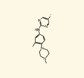 Cc1cc(Nc2ncc(F)cn2)ccc1N1CCN(C)CC1